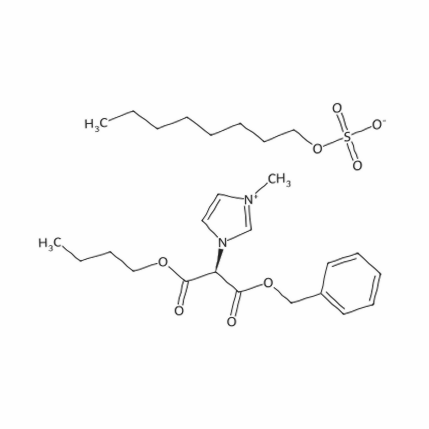 CCCCCCCCOS(=O)(=O)[O-].CCCCOC(=O)[C@H](C(=O)OCc1ccccc1)n1cc[n+](C)c1